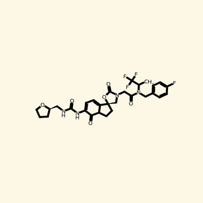 CC(N(Cc1ccc(F)cc1)C(=O)CN1C[C@]2(CCC3C(=O)C(NC(=O)NC[C@H]4CCCO4)=CC=C32)OC1=O)C(F)(F)F